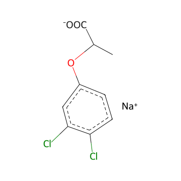 CC(Oc1ccc(Cl)c(Cl)c1)C(=O)[O-].[Na+]